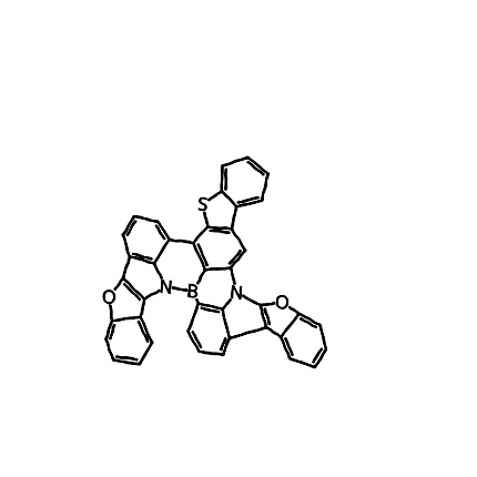 c1ccc2c(c1)oc1c2c2cccc3c2n1-c1cc2c(sc4ccccc42)c2c1B3n1c3c-2cccc3c2oc3ccccc3c21